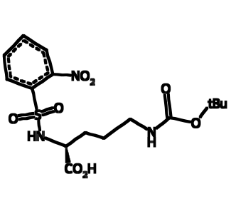 CC(C)(C)OC(=O)NCCC[C@H](NS(=O)(=O)c1ccccc1[N+](=O)[O-])C(=O)O